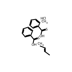 C.C.CC=CC.Cl.OC(=S)c1ccccc1.OC(=S)c1ccccc1